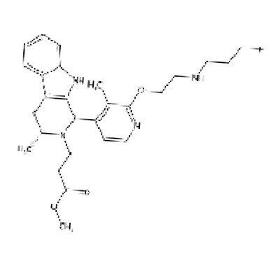 COC(=O)CCN1C(c2ccnc(OCCNCCCF)c2C)c2[nH]c3ccccc3c2C[C@H]1C